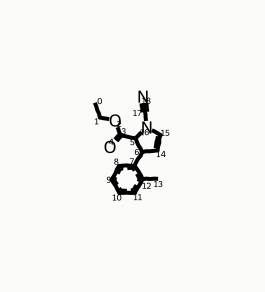 CCOC(=O)C1C(c2ccccc2C)C=CN1C#N